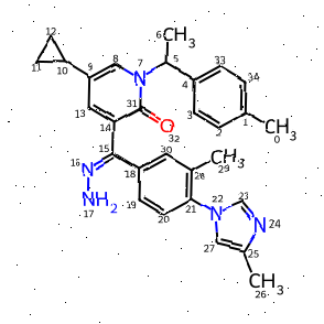 Cc1ccc(C(C)n2cc(C3CC3)cc(/C(=N/N)c3ccc(-n4cnc(C)c4)c(C)c3)c2=O)cc1